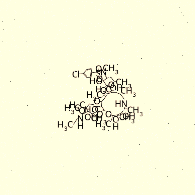 CCCNC[C@]1(O)[C@H](C)O[C@@H](O[C@H]2[C@H](C)[C@@H](O[C@@H]3O[C@H](C)C[C@H](N(C)S(=O)(=O)c4ccc(Cl)cc4)[C@H]3O)[C@](C)(O)C[C@@H](C)CN[C@H](C)[C@@H](O)[C@](C)(O)[C@@H](CC)OC(=O)[C@@H]2C)C[C@@]1(C)OC